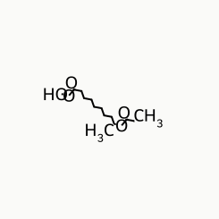 CCC(=O)OC(C)CCCCCCCC(=O)OO